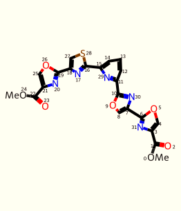 COC(=O)c1coc(-c2coc(-c3cccc(-c4nc(-c5nc(C(=O)OC)co5)cs4)n3)n2)n1